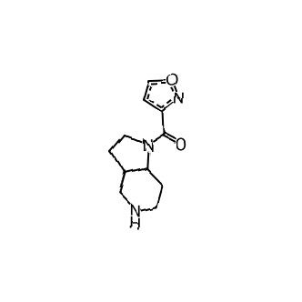 O=C(c1ccon1)N1CCC2CNCCC21